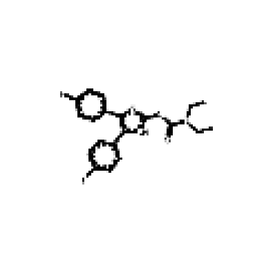 CCN(CC)C(=O)Oc1nc(-c2ccc(F)cc2)c(-c2ccc(F)cc2)[nH]1